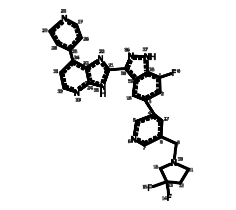 Fc1cc(-c2cncc(CN3CCC(F)(F)C3)c2)cc2c(-c3nc4c(-c5ccncc5)ccnc4[nH]3)n[nH]c12